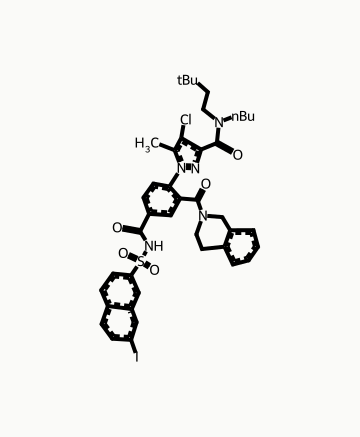 CCCCN(CCC(C)(C)C)C(=O)c1nn(-c2ccc(C(=O)NS(=O)(=O)c3ccc4ccc(I)cc4c3)cc2C(=O)N2CCc3ccccc3C2)c(C)c1Cl